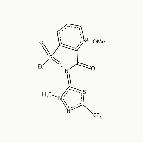 CCS(=O)(=O)c1ccc[n+](OC)c1C(=O)/N=c1\sc(C(F)(F)F)nn1C